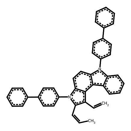 C=Cc1c(/C=C\C)n(-c2ccc(-c3ccccc3)cc2)c2ccc3c(c4ccccc4n3-c3ccc(-c4ccccc4)cc3)c12